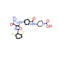 NC(=O)c1nc(-c2c(F)cccc2F)oc1Nc1ccc(C(=O)NC2CCN(C(=O)O)CC2)cc1